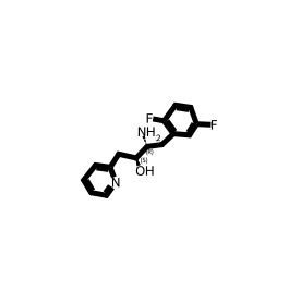 N[C@H](Cc1cc(F)ccc1F)[C@@H](O)Cc1ccccn1